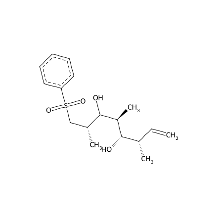 C=C[C@H](C)[C@H](O)[C@H](C)C(O)[C@H](C)CS(=O)(=O)c1ccccc1